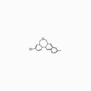 CCC1=CC2COCC3C=c4cc(C)ccc4=CC3C2C=C1